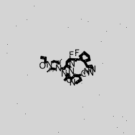 C=CC(=O)N1C[C@H](C)N(c2nc(=O)n3c4nc(c(F)cc24)-c2c(F)cccc2-c2cnnn2Cc2ccnc(C(C)C)c2-3)C[C@H]1C